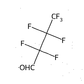 O=[C]C(F)(F)C(F)(F)C(F)(F)F